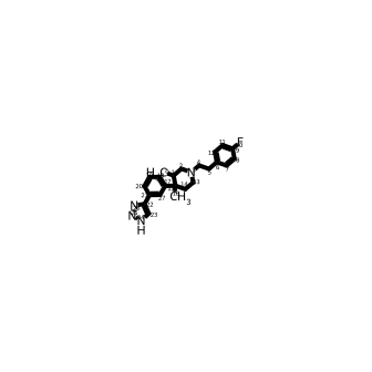 CC1CN(CCc2ccc(F)cc2)CCC1(C)c1cccc(-c2c[nH]nn2)c1